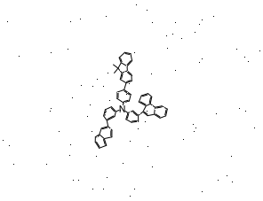 CC1(C)c2ccccc2-c2ccc(-c3ccc(N(c4cccc(-c5ccc6ccccc6c5)c4)c4cccc(-c5cc6ccccc6c6ccccc56)c4)cc3)cc21